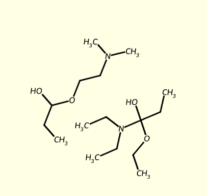 CCC(O)OCCN(C)C.CCOC(O)(CC)N(CC)CC